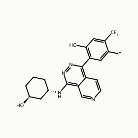 Oc1cc(C(F)(F)F)c(F)cc1-c1nnc(N[C@H]2CCC[C@H](O)C2)c2cnccc12